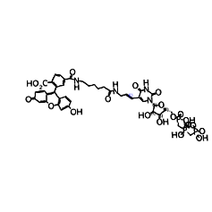 O=C(CCCCCNC(=O)c1ccc(C(=O)O)c(-c2c3ccc(=O)cc-3oc3cc(O)ccc23)c1)NC/C=C/c1cn([C@@H]2O[C@H](COP(=O)(O)CP(=O)(O)CP(=O)(O)O)[C@@H](O)[C@H]2O)c(=O)[nH]c1=O